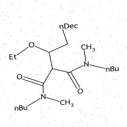 CCCCCCCCCCCC(OCC)C(C(=O)N(C)CCCC)C(=O)N(C)CCCC